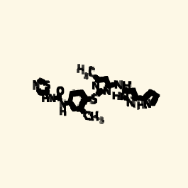 Cc1cc(Nc2cc(-c3ccc[nH]3)n[nH]2)nc(Sc2ccc(NC(=O)Nc3cncs3)cc2C)n1